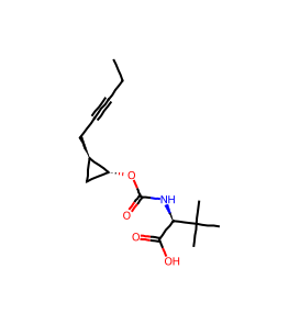 CCC#CC[C@@H]1C[C@H]1OC(=O)N[C@H](C(=O)O)C(C)(C)C